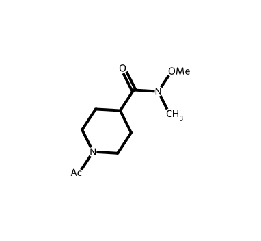 CON(C)C(=O)C1CCN(C(C)=O)CC1